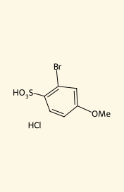 COc1ccc(S(=O)(=O)O)c(Br)c1.Cl